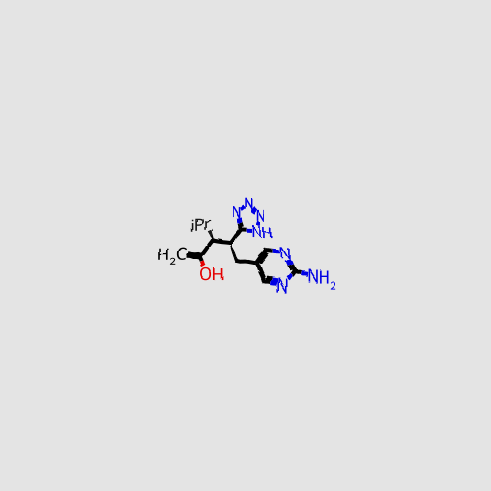 C=C(O)[C@@H](C(C)C)[C@H](Cc1cnc(N)nc1)c1nnn[nH]1